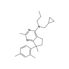 CCCN(CC1CC1)c1nc(C)nc2c1CCC2(C)c1ccc(C)cc1C